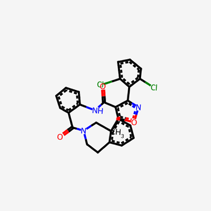 Cc1onc(-c2c(Cl)cccc2Cl)c1C(=O)Nc1ccccc1C(=O)N1CCc2ccccc2C1